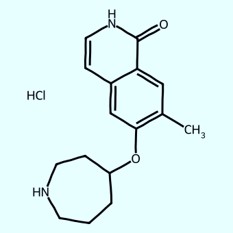 Cc1cc2c(=O)[nH]ccc2cc1OC1CCCNCC1.Cl